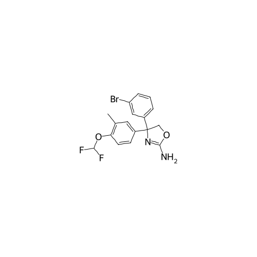 Cc1cc(C2(c3cccc(Br)c3)COC(N)=N2)ccc1OC(F)F